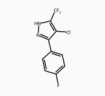 Fc1ccc(-c2n[nH]c(C(F)(F)F)c2Cl)cc1